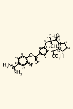 CC(C)(Cc1ccc(C(=O)Oc2ccc(C(N)N)cc2F)s1)C(=O)N1CCC[C@H]1CC(=O)O